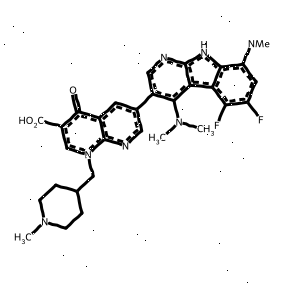 CNc1cc(F)c(F)c2c1[nH]c1ncc(-c3cnc4c(c3)c(=O)c(C(=O)O)cn4CC3CCN(C)CC3)c(N(C)C)c12